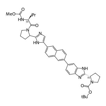 COC(=O)N[C@H](C(=O)N1CCCC1c1ncc(-c2ccc3cc(-c4ccc5nc([C@@H]6CCCN6C(=O)OC(C)(C)C)[nH]c5c4)ccc3c2)[nH]1)C(C)C